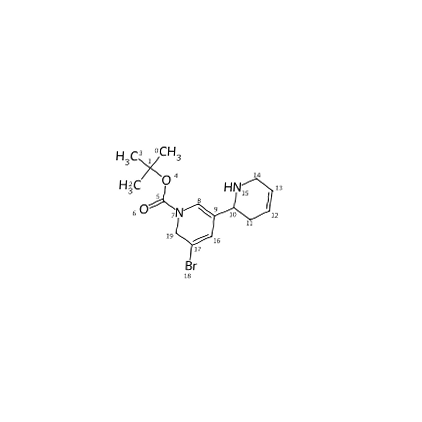 CC(C)(C)OC(=O)N1C=C(C2CC=CCN2)C=C(Br)C1